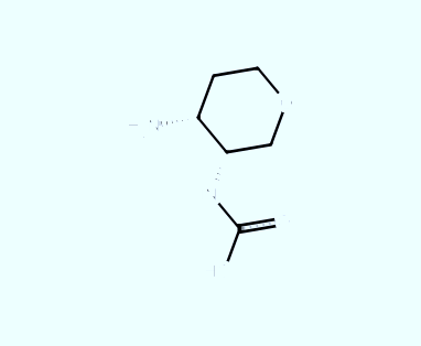 N[C@@H]1CCOC[C@@H]1NC(=O)O